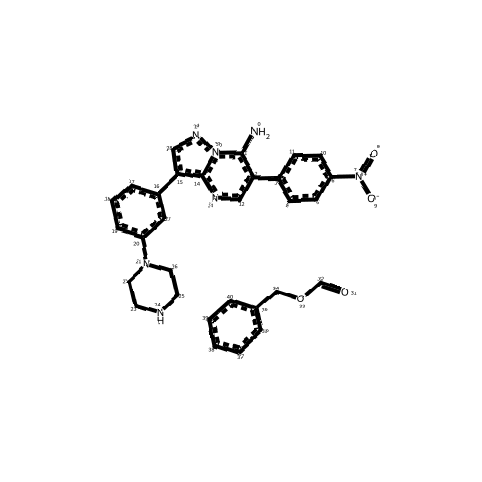 Nc1c(-c2ccc([N+](=O)[O-])cc2)cnc2c(-c3cccc(N4CCNCC4)c3)cnn12.O=COCc1ccccc1